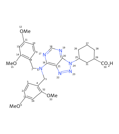 COc1ccc(CN(Cc2ccc(OC)cc2OC)c2ncnc3c2nnn3C2CCCC(C(=O)O)C2)c(OC)c1